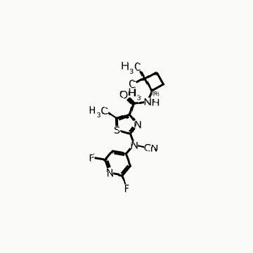 Cc1sc(N(C#N)c2cc(F)nc(F)c2)nc1C(=O)N[C@@H]1CCC1(C)C